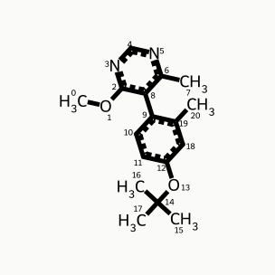 COc1ncnc(C)c1-c1ccc(OC(C)(C)C)cc1C